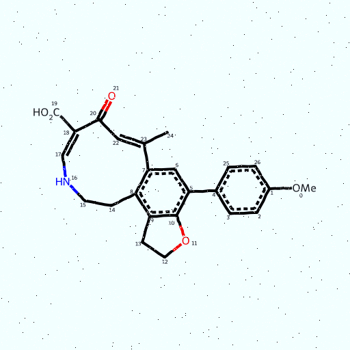 COc1ccc(-c2cc3c(c4c2OCC4)CCN/C=C(/C(=O)O)C(=O)/C=C/3C)cc1